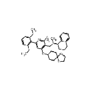 CCc1cccc(CC)c1-c1cc(OC2CCC3(CC2)OCCO3)c(CN(C)C2CCCc3ccccc32)c(C)n1